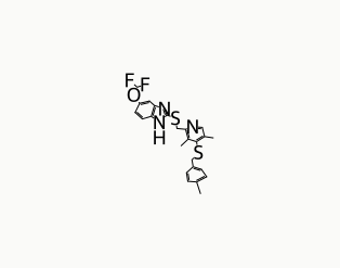 Cc1ccc(CSc2c(C)cnc(CSc3nc4cc(OC(F)F)ccc4[nH]3)c2C)cc1